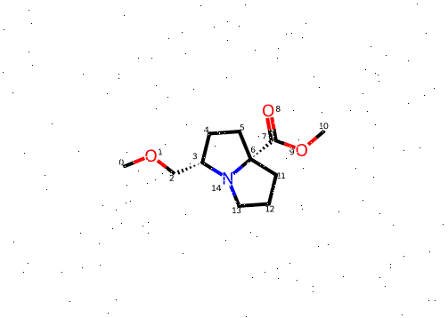 COC[C@@H]1CC[C@@]2(C(=O)OC)CCCN12